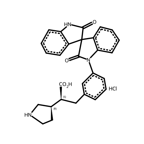 Cl.O=C(O)[C@@H](Cc1cccc(N2C(=O)C3(C(=O)Nc4ccccc43)c3ccccc32)c1)[C@H]1CCNC1